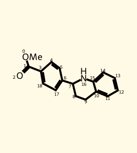 COC(=O)c1ccc(C2CCc3ccccc3N2)cc1